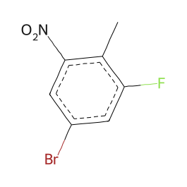 Cc1c(F)cc(Br)cc1[N+](=O)[O-]